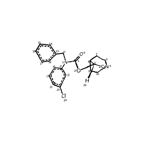 O=C(O[C@H]1CN2CCC1CC2)N(Cc1ccccc1)c1cccc(Cl)c1